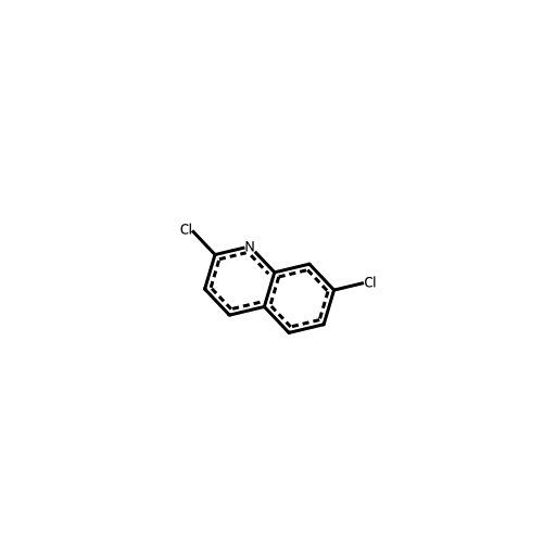 Clc1ccc2ccc(Cl)nc2c1